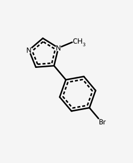 Cn1cncc1-c1ccc(Br)cc1